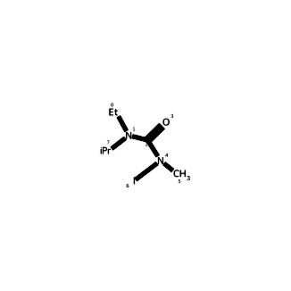 CCN(C(=O)N(C)I)C(C)C